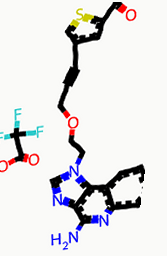 Nc1nc2ccccc2c2c1ncn2CCOCC#Cc1csc(C=O)c1.O=C(O)C(F)(F)F